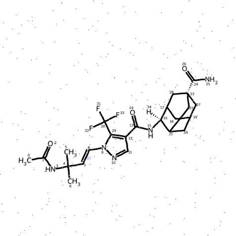 CC(=O)NC(C)(C)/C=C/n1ncc(C(=O)N[C@H]2C3CC4CC2C[C@](C(N)=O)(C4)C3)c1C(F)(F)F